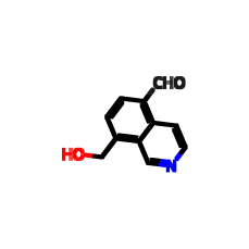 O=Cc1ccc(CO)c2cnccc12